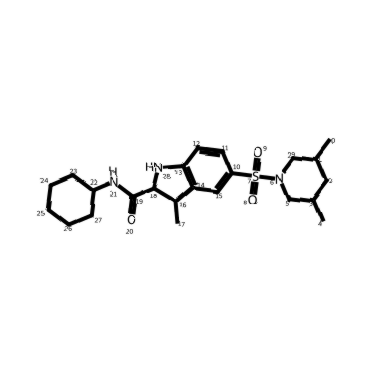 CC1CC(C)CN(S(=O)(=O)c2ccc3c(c2)C(C)C(C(=O)NC2CCCCC2)N3)C1